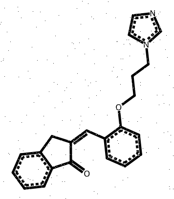 O=C1C(=Cc2ccccc2OCCCn2ccnc2)Cc2ccccc21